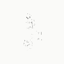 Oc1ncnc2c1ncn2[C@@H]1O[C@H](CONNc2nc3ncncc3[nH]2)[C@@H](O)[C@H]1O